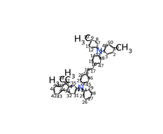 Cc1ccc(N(c2ccc(C)cc2)c2ccc(/C=C/c3ccc(N(c4ccccc4)c4ccc5c(c4)C(C)(C)c4ccccc4-5)cc3)cc2)cc1